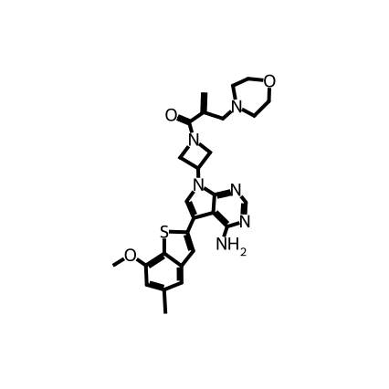 C=C(CN1CCOCC1)C(=O)N1CC(n2cc(-c3cc4cc(C)cc(OC)c4s3)c3c(N)ncnc32)C1